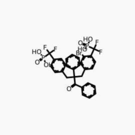 O=C(c1ccccc1)C(Cc1ccc(C(F)(F)P(=O)(O)O)cc1)(Cc1ccc(C(F)(F)P(=O)(O)O)c(Br)c1)c1ccccc1